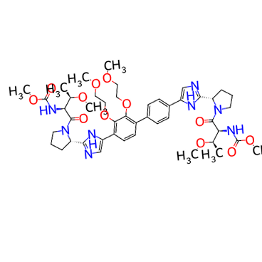 COCCOc1c(-c2ccc(-c3cnc([C@@H]4CCCN4C(=O)[C@@H](NC(=O)OC)[C@@H](C)OC)[nH]3)cc2)ccc(-c2cnc([C@@H]3CCCN3C(=O)[C@@H](NC(=O)OC)[C@@H](C)OC)[nH]2)c1OCCOC